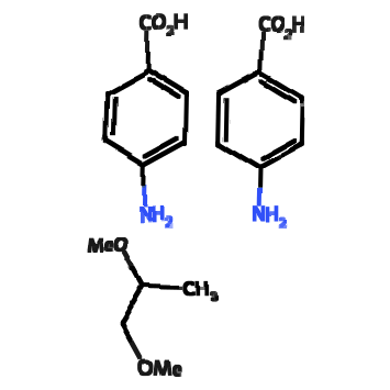 COCC(C)OC.Nc1ccc(C(=O)O)cc1.Nc1ccc(C(=O)O)cc1